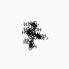 COC[C@H]1[C@@H](O)[C@H](n2c[n+](C)c3c(=O)[nH]c(N)nc32)O[C@@H]1COP(=O)(O)OP(=O)(O)OP(=O)(O)OCC1O[C@@H](n2cnc3c(N)ncnc32)[C@H](OC)[C@@H]1OCOC[C@H]1O[C@@H](n2ccc(=O)[nH]c2=O)[C@H](O)[C@@H]1O